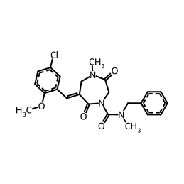 COc1ccc(Cl)cc1/C=C1\CN(C)C(=O)CN(C(=O)N(C)Cc2ccccc2)C1=O